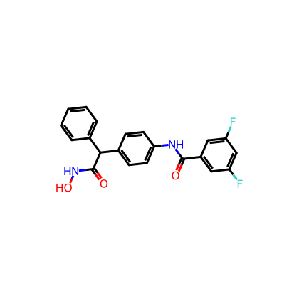 O=C(Nc1ccc(C(C(=O)NO)c2ccccc2)cc1)c1cc(F)cc(F)c1